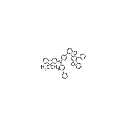 CC1(C)c2ccccc2-c2ccc(N(c3c#cc(-c4ccccc4)cc3)c3ccc(C4C=CC=C5Oc6c(cc7oc8ccccc8c7c6-c6ccccc6)C54)cc3)cc21